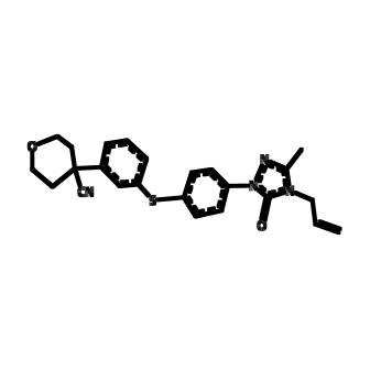 C=CCn1c(C)nn(-c2ccc(Sc3cccc(C4(C#N)CCOCC4)c3)cc2)c1=O